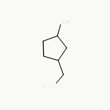 CC(C)(C)C1CCC(CC(=O)O)C1